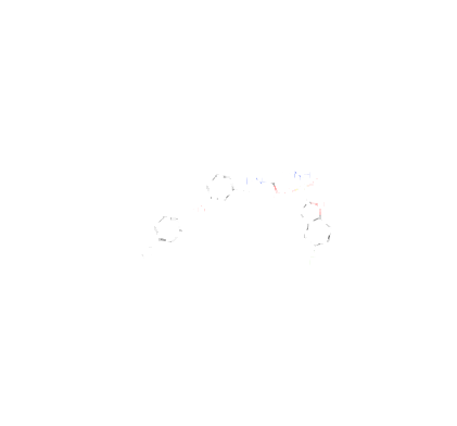 C[C@H](NS(=O)(=O)c1cc2cc(F)ccc2o1)C(=O)NCc1cccc(OCc2ccc(C(F)(F)F)cc2)c1